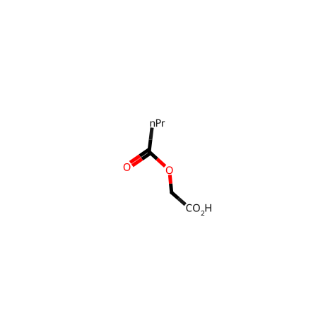 CCCC(=O)OCC(=O)O